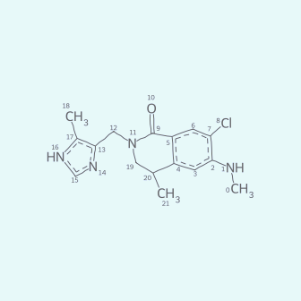 CNc1cc2c(cc1Cl)C(=O)N(Cc1nc[nH]c1C)CC2C